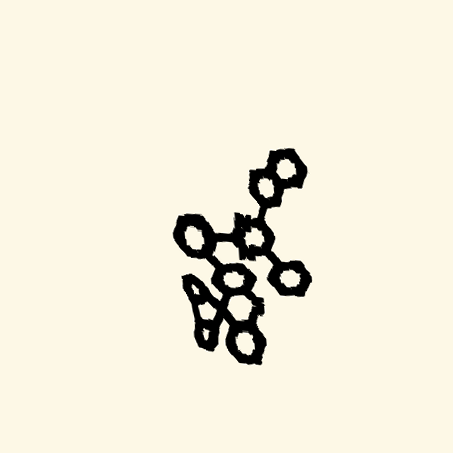 c1ccc(-c2cc(-c3ccc4ccccc4c3)nc(-c3ccccc3-c3ccc4c(c3)C3(c5ccccc5S4)c4ccccc4-c4ccccc43)n2)cc1